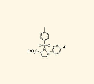 CCOC(=O)C1CC[C@@H](c2ccc(F)cc2)N1S(=O)(=O)c1ccc(C)cc1